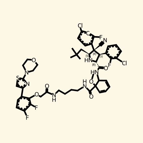 COC1(C(=O)NCCCCNC(=O)COc2c(-c3csc(N4CCOCC4)n3)ccc(F)c2F)C=CC=CC1NC(=O)[C@@H]1N[C@@H](CC(C)(C)C)[C@](C#N)(c2ccc(Cl)cc2F)[C@H]1c1cccc(Cl)c1F